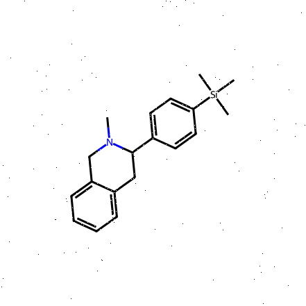 CN1Cc2ccccc2CC1c1ccc([Si](C)(C)C)cc1